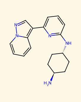 N[C@H]1CC[C@H](Nc2cccc(-c3cnn4ccccc34)n2)CC1